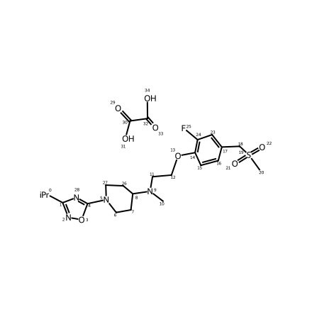 CC(C)c1noc(N2CCC(N(C)CCOc3ccc(CS(C)(=O)=O)cc3F)CC2)n1.O=C(O)C(=O)O